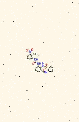 Cc1c(NC(=O)Nc2cccc(C#N)c2NS(=O)(=O)c2ccccc2)cccc1[N+](=O)[O-]